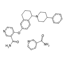 NC(=O)c1cccnc1.NC(=O)c1cnccc1Oc1ccc2c(c1)CCCC2N1CCC(c2ccccc2)CC1